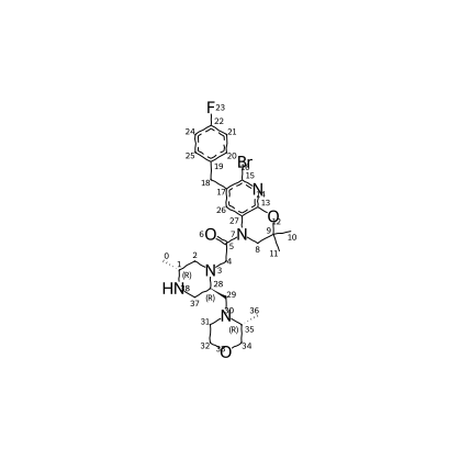 C[C@@H]1CN(CC(=O)N2CC(C)(C)Oc3nc(Br)c(Cc4ccc(F)cc4)cc32)[C@@H](CN2CCOC[C@H]2C)CN1